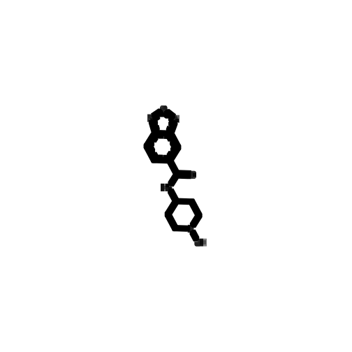 O=C(NC1CCB(O)CC1)c1ccc2nonc2c1